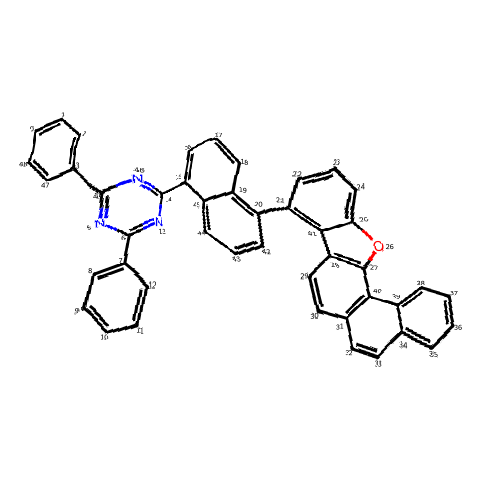 c1ccc(-c2nc(-c3ccccc3)nc(-c3cccc4c(-c5cccc6oc7c(ccc8ccc9ccccc9c87)c56)cccc34)n2)cc1